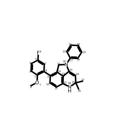 COc1ccc(F)cc1-c1ccc2c3c1CN(c1ccccc1)C3=CC(C)(C)N2